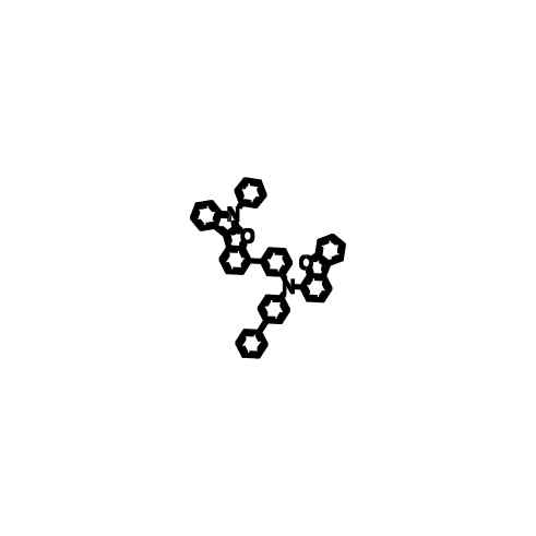 c1ccc(-c2ccc(N(c3cccc(-c4cccc5c4oc4c5c5ccccc5n4-c4ccccc4)c3)c3cccc4c3oc3ccccc34)cc2)cc1